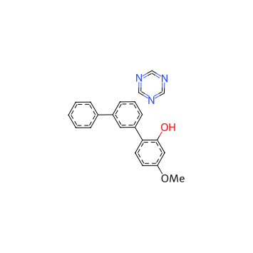 COc1ccc(-c2cccc(-c3ccccc3)c2)c(O)c1.c1ncncn1